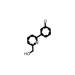 OCc1cccc(-c2cccc(Cl)c2)n1